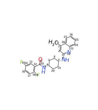 Cc1cc(N[C@H]2CC[C@@H](NC(=O)c3cc(F)ccc3F)CC2)nc2ccccc12